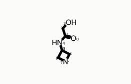 O=C(CO)NC1C[N]C1